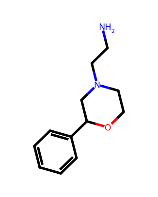 NCCN1CCOC(c2ccccc2)C1